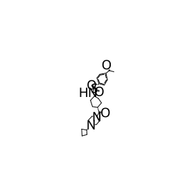 CC(=O)c1ccc(S(=O)(=O)N[C@H]2CC[C@H](C(=O)N3CCN(C4CCC4)CC3)CC2)cc1